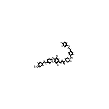 Cc1ccc(OCCc2ccc(CN3CCN(C(=O)C=Cc4cc(Cl)c(Oc5ccc(OCc6ccc(C#N)cc6)cn5)cc4C)CC3)cc2)cc1